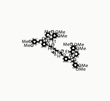 CC[C@H](C(=O)N1CCCC[C@H]1C(=O)O[C@H](CCc1ccc(OC)c(OC)c1)c1cccc(OCC(=O)NCC(CNC(=O)COc2cccc([C@@H](CCc3ccc(OC)c(OC)c3)OC(=O)[C@@H]3CCCCN3C(=O)[C@@H](CC)c3cc(OC)c(OC)c(OC)c3)c2)N(C)C)c1)c1cc(OC)c(OC)c(OC)c1